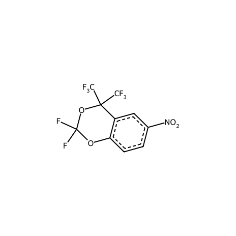 O=[N+]([O-])c1ccc2c(c1)C(C(F)(F)F)(C(F)(F)F)OC(F)(F)O2